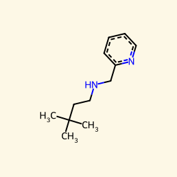 CC(C)(C)CCNCc1ccccn1